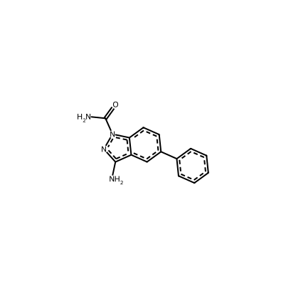 NC(=O)n1nc(N)c2cc(-c3ccccc3)ccc21